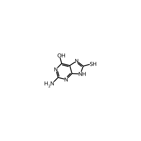 Nc1nc(O)c2nc(S)[nH]c2n1